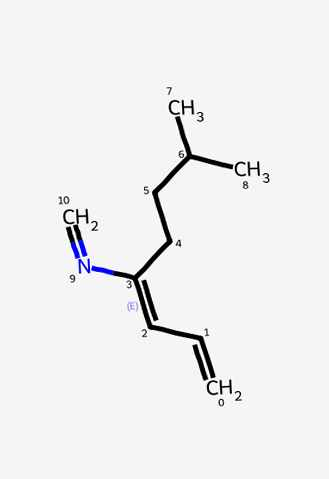 C=C/C=C(\CCC(C)C)N=C